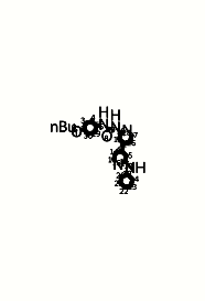 CCCCOc1ccc(NC(=O)Nc2cc(-c3ccnc(Nc4ccccc4)c3)ccn2)cc1